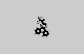 CC(C(N)=O)c1cnc(-c2ccccc2)c(-c2ccccc2)n1